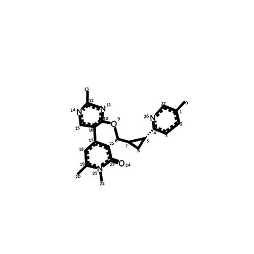 Cc1ccc([C@@H]2CC2COc2nc(C)ncc2-c2cc(C)n(C)c(=O)c2)nc1